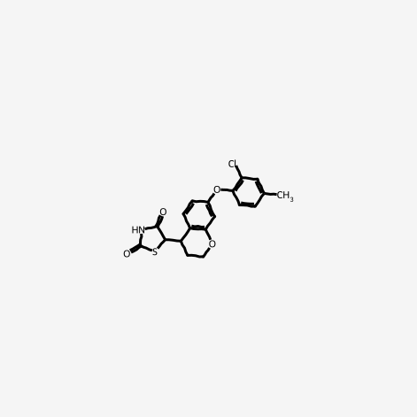 Cc1ccc(Oc2ccc3c(c2)OCCC3C2SC(=O)NC2=O)c(Cl)c1